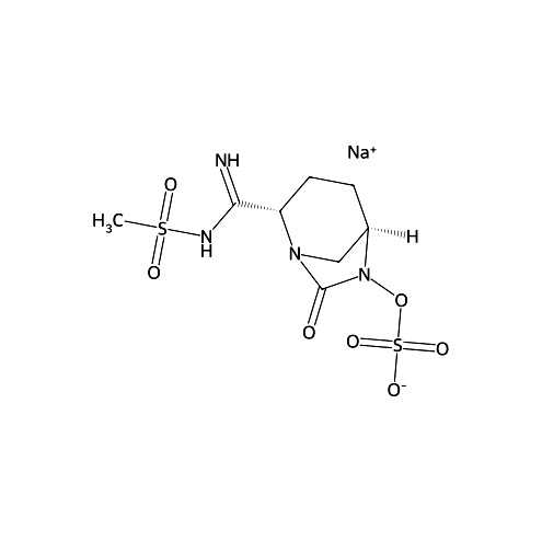 CS(=O)(=O)NC(=N)[C@@H]1CC[C@@H]2CN1C(=O)N2OS(=O)(=O)[O-].[Na+]